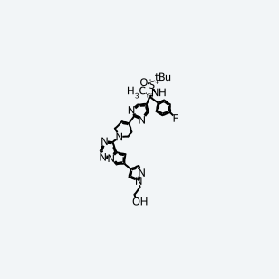 CC(C)(C)[S+]([O-])N[C@@](C)(c1ccc(F)cc1)c1cnc(C2=CCN(c3ncnn4cc(-c5cnn(CCO)c5)cc34)CC2)nc1